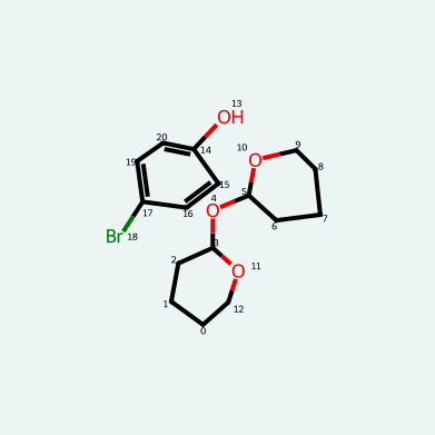 C1CCC(OC2CCCCO2)OC1.Oc1ccc(Br)cc1